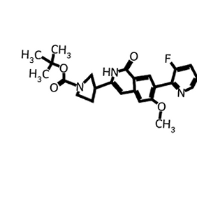 COc1cc2cc(C3CCN(C(=O)OC(C)(C)C)C3)[nH]c(=O)c2cc1-c1ncccc1F